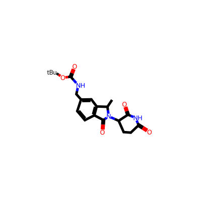 CC1c2cc(CNC(=O)OC(C)(C)C)ccc2C(=O)N1C1CCC(=O)NC1=O